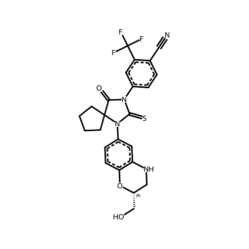 N#Cc1ccc(N2C(=O)C3(CCCC3)N(c3ccc4c(c3)NC[C@H](CO)O4)C2=S)cc1C(F)(F)F